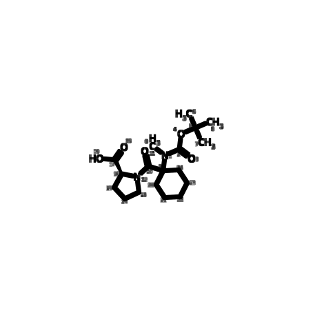 CN(C(=O)OC(C)(C)C)C1(C(=O)N2CCC[C@H]2C(=O)O)CCCCC1